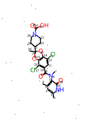 Cc1cc(C)c(N(C)C(=O)c2cc(Cl)c3c(c2Cl)OC(C)(C2CCN(C(=O)O)CC2)O3)c(=O)[nH]1